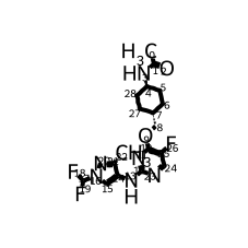 CC(=O)N[C@H]1CC[C@H](COc2nc(Nc3cn(C(F)F)nc3C)ncc2F)CC1